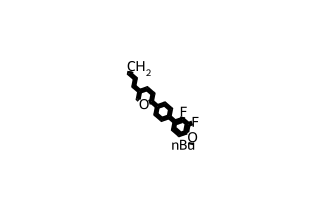 C=CCCC1CCC(C2CCC(c3ccc(OCCCC)c(F)c3F)CC2)OC1